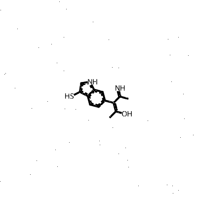 CC(=N)/C(=C(/C)O)c1ccc2c(S)c[nH]c2c1